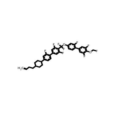 C=CCCC1CCC(c2ccc(-c3cc(F)c(C(F)(F)Oc4ccc(-c5cc(F)c(OCF)c(F)c5)c(F)c4)c(F)c3)c(F)c2)CC1